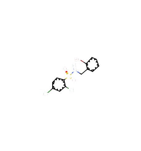 O=S(=O)(NCc1ccccc1Br)c1ccc(Cl)cc1Cl